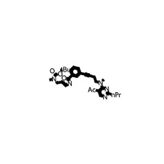 CCCc1ncc(C(C)=O)c(N(C)CCC#Cc2cccc(-c3ncc(CN(C)C(=O)OC(C)(C)C)o3)c2)n1